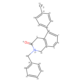 O=C1Cc2c(cccc2-c2ccc(C(F)(F)F)cc2)CN1Cc1ccccc1